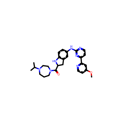 COc1ccnc(-c2ccnc(Nc3ccc4c(c3)CC(C(=O)N3CCCN(C(C)C)CC3)N4)n2)c1